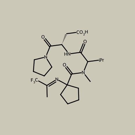 C/C(=N\C1(C(=O)N(C)C(C(=O)N[C@@H](CC(=O)O)C(=O)N2CCCC2)C(C)C)CCCC1)C(F)(F)F